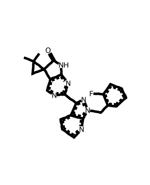 CC1(C)CC12C(=O)Nc1nc(-c3nn(Cc4ccccc4F)c4ncccc34)ncc12